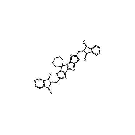 S=C1C(=Cc2cc3c(s2)-c2sc4cc(C=C5C(=S)c6ccccc6C5=S)sc4c2C32CCCCC2)C(=S)c2ccccc21